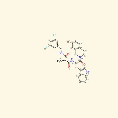 CC(C(=O)NCc1cc(F)cc(F)c1)C(=O)NC(Cc1c[nH]c2ccccc12)C(=O)N1CCc2ccc(Br)cc2C1